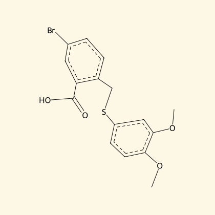 COc1ccc(SCc2ccc(Br)cc2C(=O)O)cc1OC